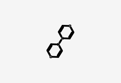 C1=CN(N2C=COC=C2)C=CO1